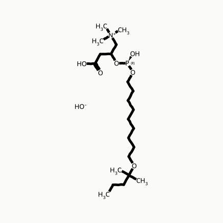 CCCC(C)(C)OCCCCCCCCCO[P@](O)OC(CC(=O)O)C[N+](C)(C)C.[OH-]